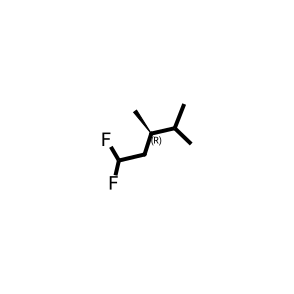 CC(C)[C@H](C)CC(F)F